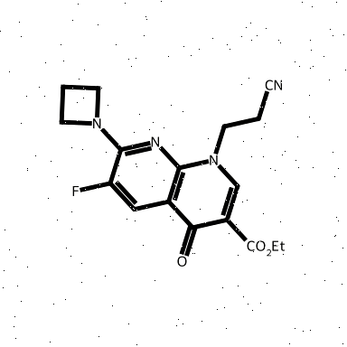 CCOC(=O)c1cn(CCC#N)c2nc(N3CCC3)c(F)cc2c1=O